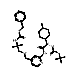 CC1CCC([C@H](NC(=O)OC(C)(C)C)C(=O)Nc2cc(CNCC(C)(C)NC(=O)OCc3ccccc3)ccn2)CC1